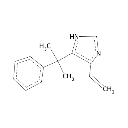 C=Cc1nc[nH]c1C(C)(C)c1ccccc1